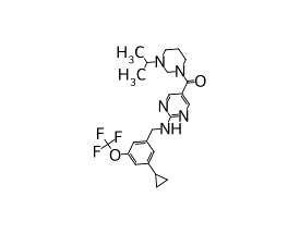 CC(C)N1CCCN(C(=O)c2cnc(NCc3cc(OC(F)(F)F)cc(C4CC4)c3)nc2)C1